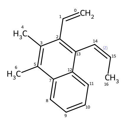 C=Cc1c(C)c(C)c2ccccc2c1/C=C\C